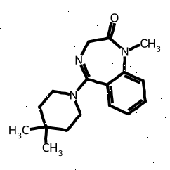 CN1C(=O)CN=C(N2CCC(C)(C)CC2)c2ccccc21